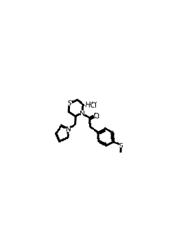 CSc1ccc(CC(=O)N2CCSCC2CN2CCCC2)cc1.Cl